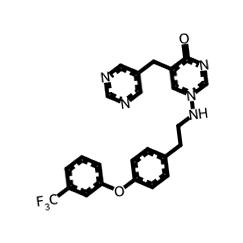 O=c1ncn(NCCc2ccc(Oc3cccc(C(F)(F)F)c3)cc2)cc1Cc1cncnc1